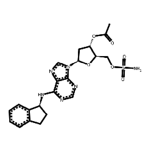 CC(=O)O[C@H]1C[C@H](n2cnc3c(N[C@H]4CCc5ccccc54)ncnc32)O[C@@H]1COS(N)(=O)=O